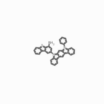 Bc1cc(-n2c3ccccc3c3cc4c5ccccc5n(-c5ccccc5)c4cc32)cc2c1sc1ccccc12